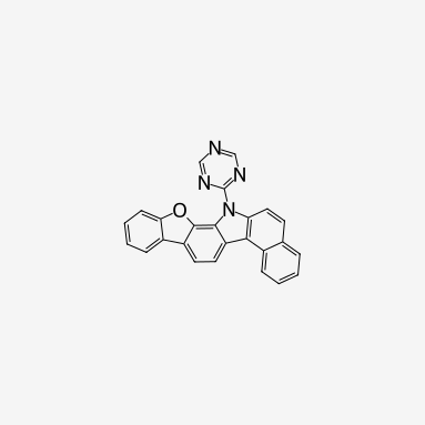 c1ccc2c(c1)ccc1c2c2ccc3c4ccccc4oc3c2n1-c1ncncn1